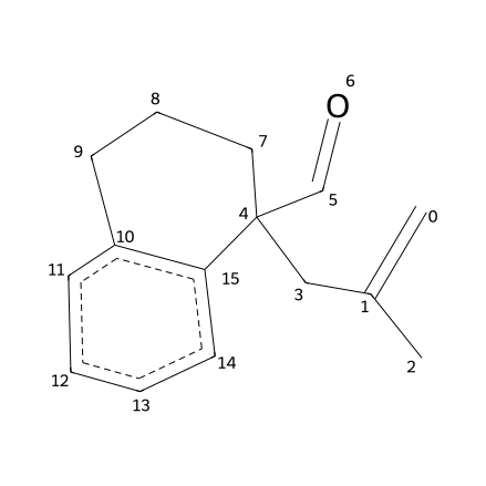 C=C(C)CC1(C=O)CCCc2ccccc21